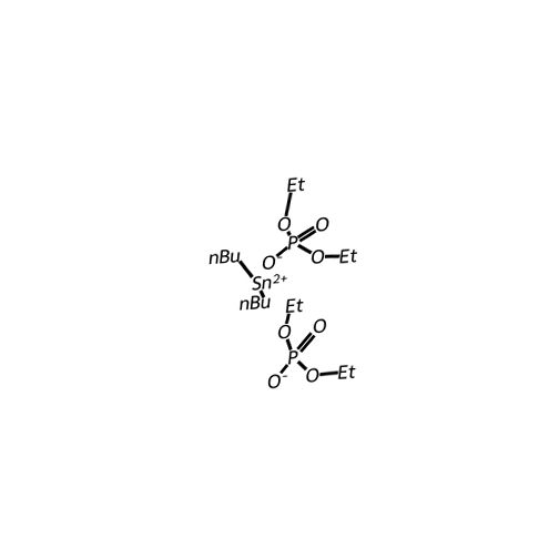 CCC[CH2][Sn+2][CH2]CCC.CCOP(=O)([O-])OCC.CCOP(=O)([O-])OCC